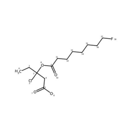 CCC(Cl)(CC([O])=O)OC(=O)CCCCCCCF